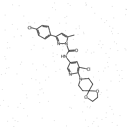 Cc1cc(-c2ccc(Cl)cc2)nn1C(=O)Nc1cnc(N2CCC3(CC2)OCCO3)c(Cl)c1